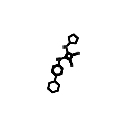 O=c1c(Nc2ccc(C3CCCCC3)cc2)c(NC2CCCC2)c1=O